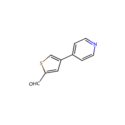 O=Cc1cc(-c2ccncc2)cs1